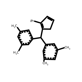 Cc1cc(C)cc(C(C2=C(C(C)C)C=CC2)c2cc(C)cc(C)c2)c1